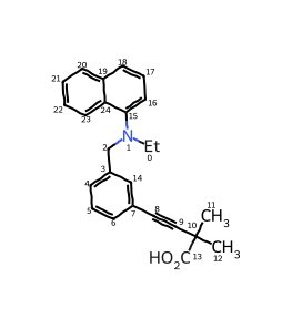 CCN(Cc1cccc(C#CC(C)(C)C(=O)O)c1)c1cccc2ccccc12